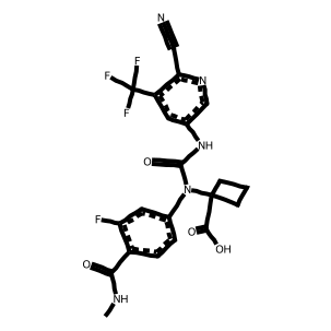 CNC(=O)c1ccc(N(C(=O)Nc2cnc(C#N)c(C(F)(F)F)c2)C2(C(=O)O)CCC2)cc1F